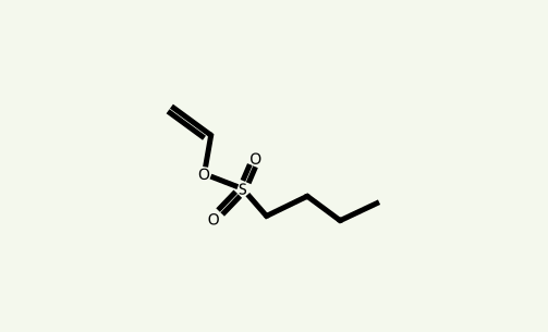 C=COS(=O)(=O)CCCC